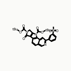 CC(C)(C)OC(=O)N1Cc2c(c3ccc4cnc(-c5cccc(S(C)(=O)=O)c5)cc4c3n2C(=O)OC(C)(C)C)C1=O